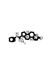 C[C@]12C=CC(=O)SC1CC[C@@H]1[C@H]2CC[C@]2(C)C(C(=O)NC3CC4CCC3C4)CC[C@@H]12